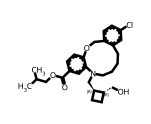 CC(C)COC(=O)c1ccc2c(c1)N(C[C@@H]1CC[C@H]1CO)CCCCc1cc(Cl)ccc1CO2